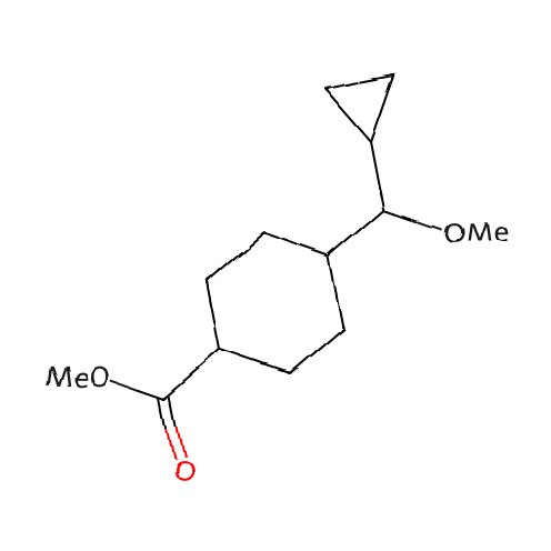 COC(=O)C1CCC(C(OC)C2CC2)CC1